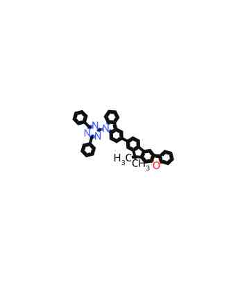 CC1(C)c2cc(-c3ccc4c(c3)c3ccccc3n4-c3nc(-c4ccccc4)nc(-c4ccccc4)n3)ccc2-c2cc3c(cc21)oc1ccccc13